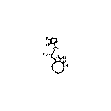 CCc1nn(C[C@@H](C)COC(=O)c2cccc(F)c2Cl)c2c1C(=O)NCCCOCCC2